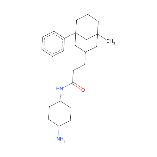 CC12CCCC(c3ccccc3)(CC(CCC(=O)N[C@H]3CC[C@@H](N)CC3)C1)C2